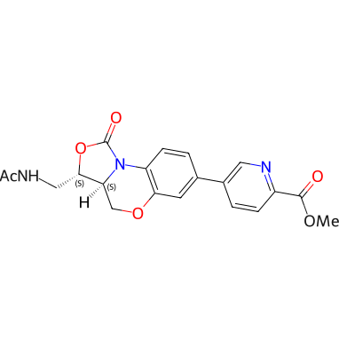 COC(=O)c1ccc(-c2ccc3c(c2)OC[C@H]2[C@H](CNC(C)=O)OC(=O)N32)cn1